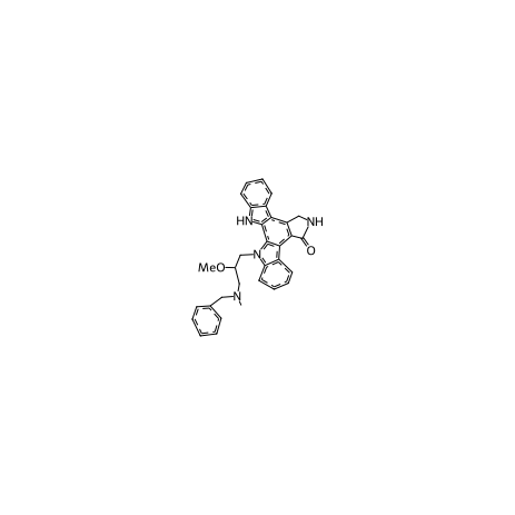 COC(CN(C)Cc1ccccc1)Cn1c2ccccc2c2c3c(c4c5ccccc5[nH]c4c21)CNC3=O